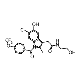 Cc1c(CC(=O)NCCO)c2cc(O)c(Cl)cc2n1C(=O)c1ccc(OC(F)(F)F)cc1